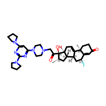 C[C@H]1C[C@H]2[C@@H]3C[C@H](F)C4=CC(=O)CC[C@]4(C)C3=CC[C@]2(C)[C@@]1(O)C(=O)CN1CCN(c2cc(N3CCCC3)nc(N3CCCC3)n2)CC1